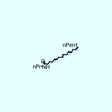 CCCCC/C=C\C/C=C/C/C=C/C/C=C/CCCC(=O)NCCC